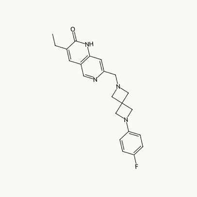 CCc1cc2cnc(CN3CC4(C3)CN(c3ccc(F)cc3)C4)cc2[nH]c1=O